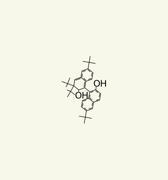 CC(C)(C)c1ccc2c(c1)=CC(C(C)(C)C)(C(C)(C)C)C(O)C=2c1c(O)ccc2cc(C(C)(C)C)ccc12